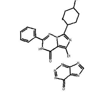 CCc1nc(C2CCC(C(C)(C)C)CC2)n2nc(-c3ccccc3)[nH]c(=O)c12.O=C1N=NN=C2N=CN=C12